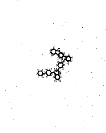 C1=CCCC(C2=CC=C(c3nc(C4C=CC(n5c6ccccc6c6cc7c(cc65)C5C=CC=CC5S7)=CC4)nc4ccccc34)CC2)=C1